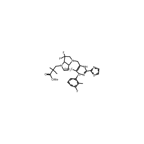 CCOC(=O)C1=C(CN2CC(F)(F)C3C2CCN3CC(C)(C)C(=O)OC)NC(c2nccs2)=N[C@H]1c1cccc(F)c1C